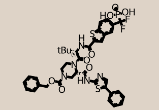 CC(C)(C)[C@H](NC(=O)c1cc2cc(C(F)(F)P(=O)(O)O)ccc2s1)C(=O)N1CCN(C(=O)OCc2ccccc2)C[C@H]1C(=O)Nc1ncc(-c2ccccc2)s1